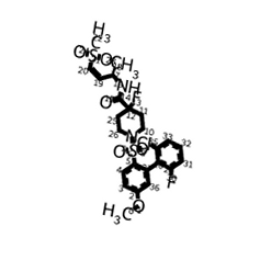 COc1ccc(S(=O)(=O)N2CCC(F)(C(=O)N[C@H](C)/C=C\S(C)(=O)=O)CC2)c(-c2c(F)cccc2Cl)c1